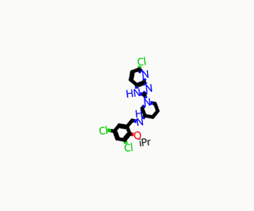 CC(C)Oc1c(Cl)cc(Cl)cc1CNC1CCCN(c2nc3nc(Cl)ccc3[nH]2)C1